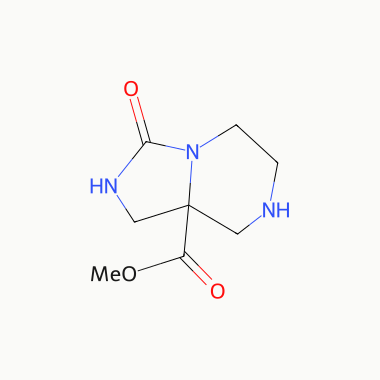 COC(=O)C12CNCCN1C(=O)NC2